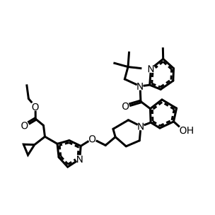 CCOC(=O)CC(c1ccnc(OCC2CCN(c3cc(O)ccc3C(=O)N(CC(C)(C)C)c3cccc(C)n3)CC2)c1)C1CC1